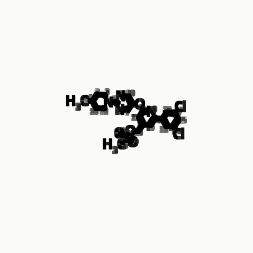 CC1CCN(c2ncc(Oc3cc(COS(C)(=O)=O)cc(-c4cc(Cl)cc(Cl)c4)n3)cn2)CC1